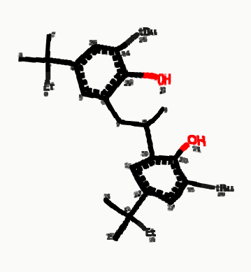 CCC(C)(C)c1cc(CC(C)c2cc(C(C)(C)CC)cc(C(C)(C)C)c2O)c(O)c(C(C)(C)C)c1